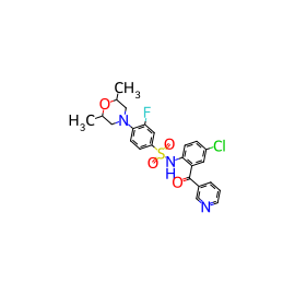 CC1CN(c2ccc(S(=O)(=O)Nc3ccc(Cl)cc3C(=O)c3cccnc3)cc2F)CC(C)O1